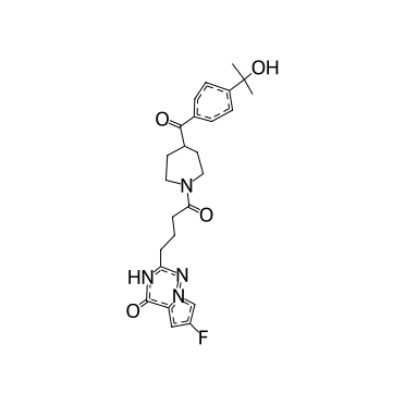 CC(C)(O)c1ccc(C(=O)C2CCN(C(=O)CCCc3nn4cc(F)cc4c(=O)[nH]3)CC2)cc1